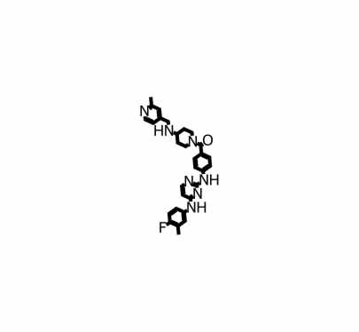 Cc1cc(CNC2CCN(C(=O)c3ccc(Nc4nccc(Nc5ccc(F)c(C)c5)n4)cc3)CC2)ccn1